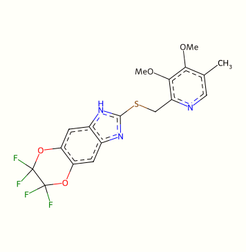 COc1c(C)cnc(CSc2nc3cc4c(cc3[nH]2)OC(F)(F)C(F)(F)O4)c1OC